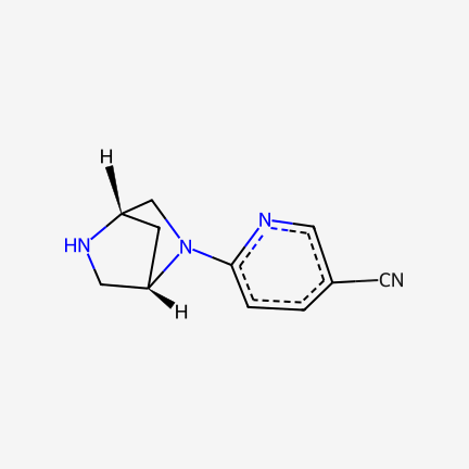 N#Cc1ccc(N2C[C@@H]3C[C@H]2CN3)nc1